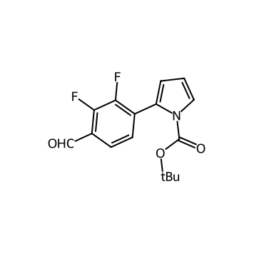 CC(C)(C)OC(=O)n1cccc1-c1ccc(C=O)c(F)c1F